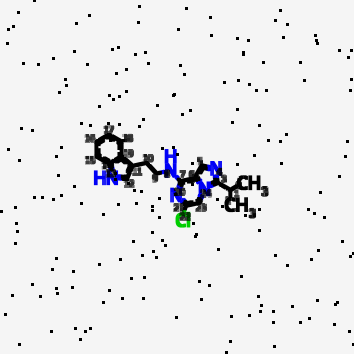 CC(C)c1ncc2c(NCCc3c[nH]c4ccccc34)nc(Cl)cn12